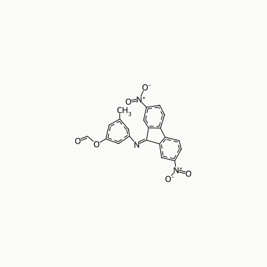 Cc1cc(N=C2c3cc([N+](=O)[O-])ccc3-c3ccc([N+](=O)[O-])cc32)cc(OC=O)c1